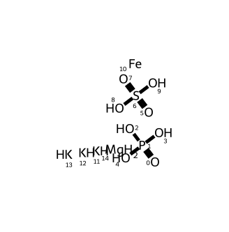 O=P(O)(O)O.O=S(=O)(O)O.[Fe].[KH].[KH].[KH].[MgH2]